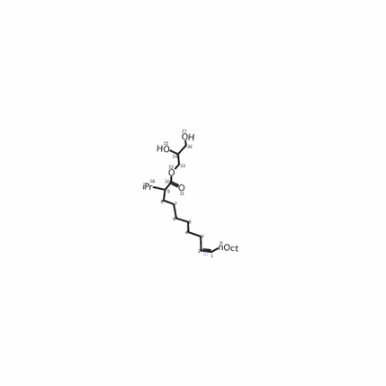 CCCCCCCC/C=C\CCCCCCC(C(=O)OCC(O)CO)C(C)C